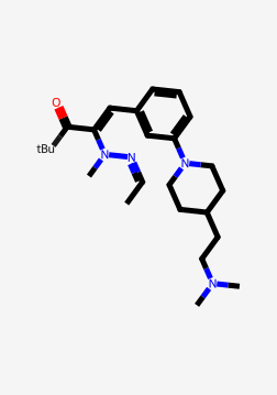 C/C=N\N(C)/C(=C\c1cccc(N2CCC(CCN(C)C)CC2)c1)C(=O)C(C)(C)C